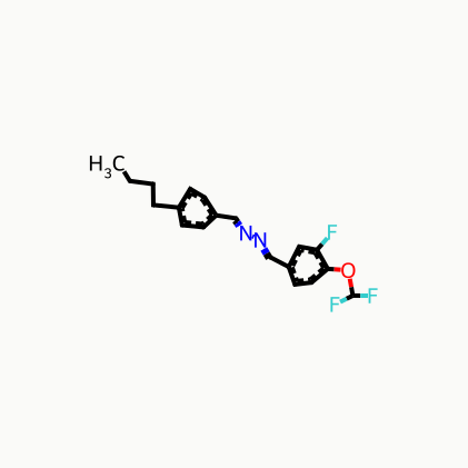 CCCCc1ccc(C=NN=Cc2ccc(OC(F)F)c(F)c2)cc1